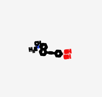 CN(C)c1cccc2c(C#Cc3ccc(B(O)O)cc3)cccc12